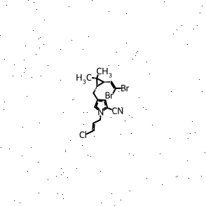 CC1(C)[C@H](Cc2cc(C#N)n(CC=CCl)c2)[C@@H]1C=C(Br)Br